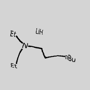 CCCCCCN(CC)CC.[LiH]